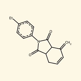 C=C1C=CCC2C(=O)N(c3ccc(CC)cc3)C(=O)C12